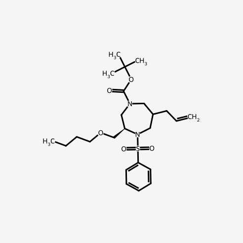 C=CCC1CN(C(=O)OC(C)(C)C)C[C@H](COCCCC)N(S(=O)(=O)c2ccccc2)C1